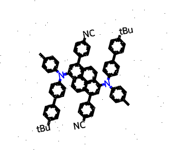 [C-]#[N+]c1ccc(-c2cc(N(c3ccc(C)cc3)c3ccc(-c4ccc(C(C)(C)C)cc4)cc3)c3ccc4c(-c5ccc(C#N)cc5)cc(N(c5ccc(C)cc5)c5ccc(-c6ccc(C(C)(C)C)cc6)cc5)c5ccc2c3c45)cc1